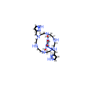 c1cc(CN2CCNCCN3CCNCCNCCN(CCNCCN(Cc4cc[nH]n4)CC3)CC2)n[nH]1